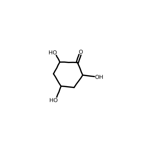 O=C1C(O)CC(O)CC1O